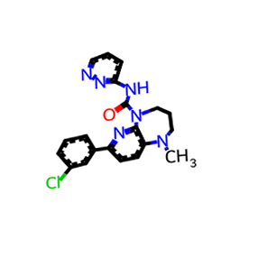 CN1CCCN(C(=O)Nc2cccnn2)c2nc(-c3cccc(Cl)c3)ccc21